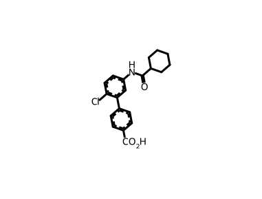 O=C(O)c1ccc(-c2cc(NC(=O)C3CCCCC3)ccc2Cl)cc1